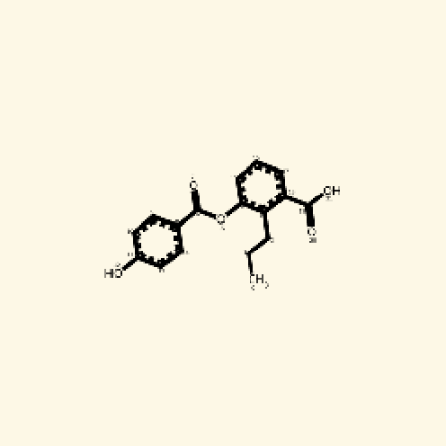 CCCc1c(OC(=O)c2ccc(O)cc2)cccc1C(=O)O